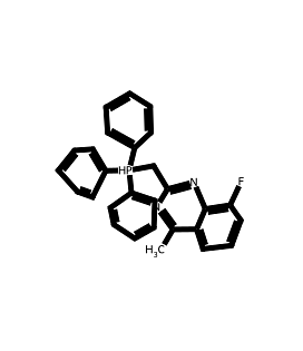 Cc1nc(C[PH](c2ccccc2)(c2ccccc2)c2ccccc2)nc2c(F)cccc12